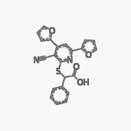 N#Cc1c(-c2ccco2)cc(-c2ccco2)nc1SC(C(=O)O)c1ccccc1